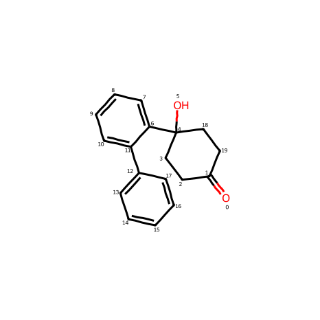 O=C1CCC(O)(c2ccccc2-c2ccccc2)CC1